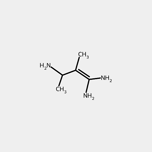 CC(=C(N)N)C(C)N